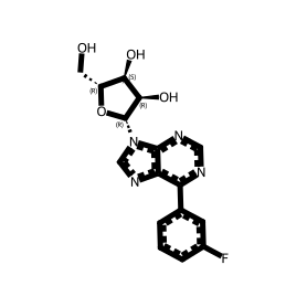 OC[C@H]1O[C@@H](n2cnc3c(-c4cccc(F)c4)ncnc32)[C@H](O)[C@@H]1O